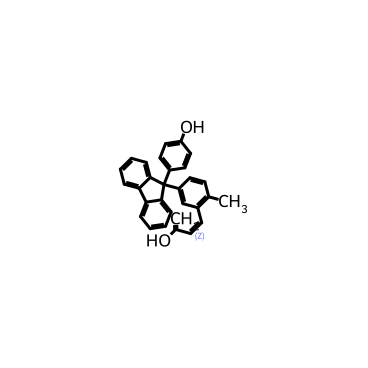 C=C(O)/C=C\c1cc(C2(c3ccc(O)cc3)c3ccccc3-c3ccccc32)ccc1C